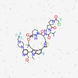 CCn1c(-c2cc(N3CCN(CC(F)(F)F)CC3)cnc2[C@H](C)OC)c2c3cc(c(F)cc31)-c1csc(n1)C[C@H](NC(=O)[C@H](C(C)C)N1CC[C@]3(CCN(C(=O)[C@H](F)Cl)C3)C1=O)C(=O)N1CCC[C@H](N1)C(=O)OCC(C)(C)C2